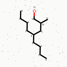 CCCCC(CCCC)CC(C)C[O]